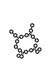 c1ccc(-c2ccc(N(c3ccc(-c4ccccc4)cc3)c3ccc(-c4ccc(N(c5ccc(-c6ccccc6)cc5)c5ccc(-c6cccc(-c7ccc(N(c8ccc(-c9ccc(N(c%10ccccc%10)c%10cccc%11ccccc%10%11)cc9)cc8)c8cccc9ccccc89)cc7)c6)cc5)cc4)cc3)cc2)cc1